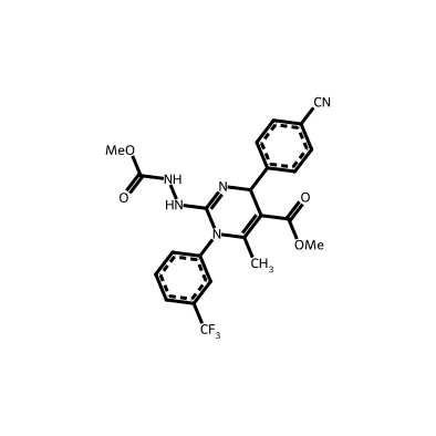 COC(=O)NNC1=NC(c2ccc(C#N)cc2)C(C(=O)OC)=C(C)N1c1cccc(C(F)(F)F)c1